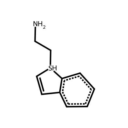 NCC[SH]1C=Cc2ccccc21